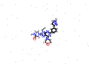 CCn1c(N2CCN(C)C(=O)C2)nc2c(N3CCOCC3)nc(-c3cccc(-c4ccn(C)n4)c3)nc21